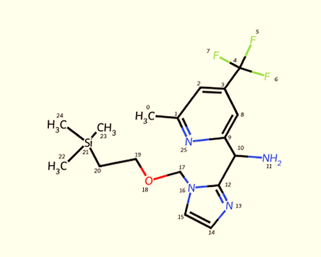 Cc1cc(C(F)(F)F)cc(C(N)c2nccn2COCC[Si](C)(C)C)n1